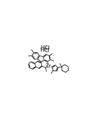 C/[C](c1ccc2ccccc2c1)=[Zr](\[C]1=CC(C2(C)CCCCC2)=CC1C)[c]1c(C)c(C)cc2c1Cc1cc(C)c(C)cc1-2.Cl.Cl